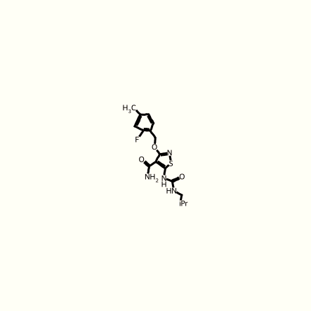 Cc1ccc(COc2nsc(NC(=O)NCC(C)C)c2C(N)=O)c(F)c1